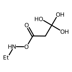 CCNOC(=O)CC(O)(O)O